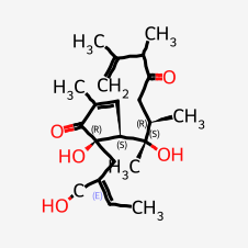 C=C(C)C(C)C(=O)C[C@@H](C)[C@](C)(O)[C@@H]1C=C(C)C(=O)[C@@]1(O)C/C(=C\C)CO